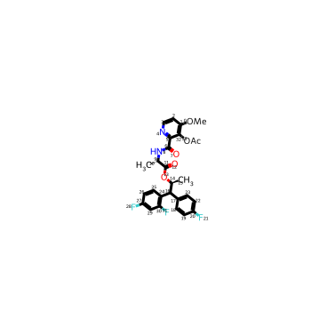 COc1ccnc(C(=O)N[C@@H](C)C(=O)O[C@@H](C)C(c2ccc(F)cc2)c2ccc(F)cc2F)c1OC(C)=O